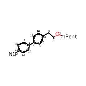 CCCCCOCCc1ccc(-c2ccc(C#N)cc2)cc1